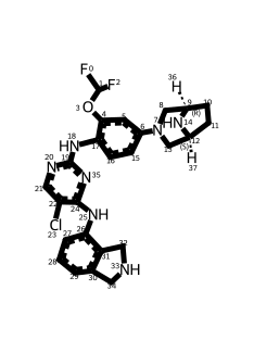 FC(F)Oc1cc(N2C[C@H]3CC[C@@H](C2)N3)ccc1Nc1ncc(Cl)c(Nc2cccc3c2CNC3)n1